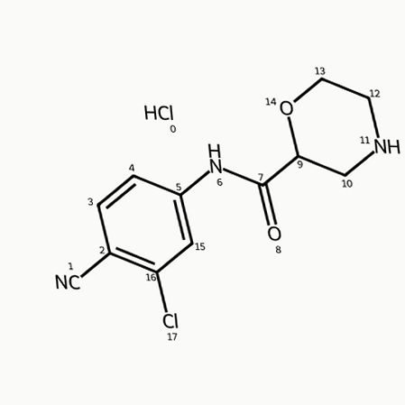 Cl.N#Cc1ccc(NC(=O)C2CNCCO2)cc1Cl